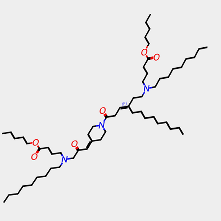 CCCCCCCCC/C(=C\CC(=O)N1CCC(=CC(=O)CN(CCCCCCCCC)CCCC(=O)OCCCCC)CC1)CCN(CCCCCCCCC)CCCC(=O)OCCCCC